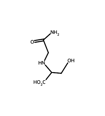 NC(=O)CNC(CO)C(=O)O